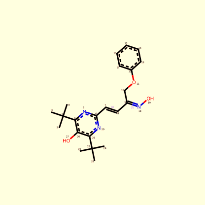 CC(C)(C)c1nc(/C=C/C(COc2ccccc2)=N/O)nc(C(C)(C)C)c1O